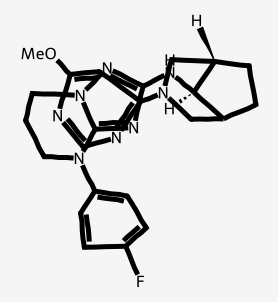 COc1cc(N2CC3CC[C@@H](C2)[C@@H]3Nc2nc3n(n2)CCCN3c2ccc(F)cc2)ncn1